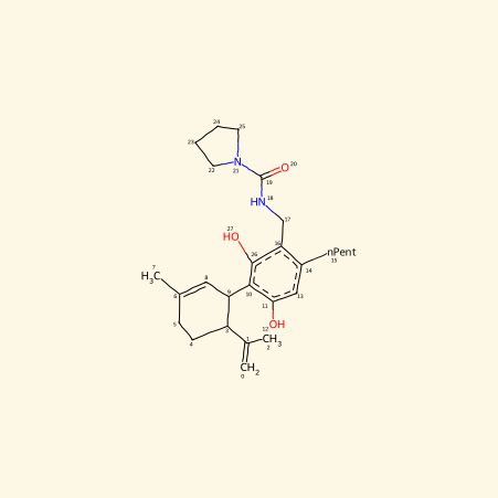 C=C(C)C1CCC(C)=CC1c1c(O)cc(CCCCC)c(CNC(=O)N2CCCC2)c1O